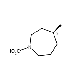 O=C(O)N1CCC[C@H](I)CC1